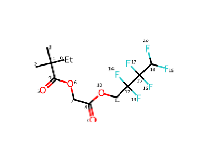 CCC(C)(C)C(=O)OCC(=O)OCC(F)(F)C(F)(F)C(F)F